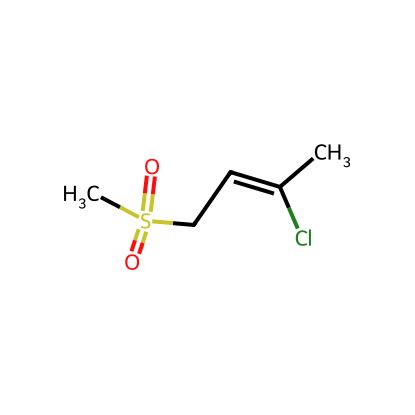 CC(Cl)=CCS(C)(=O)=O